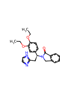 CCOc1ccc([C@H](Cc2ncc[nH]2)N2Cc3ccccc3C2=O)cc1OCC